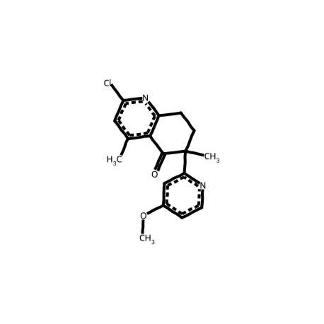 COc1ccnc(C2(C)CCc3nc(Cl)cc(C)c3C2=O)c1